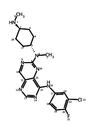 CN[C@H]1CC[C@H](N(C)c2ncc3ncnc(Nc4ccc(F)c(Cl)c4)c3n2)CC1